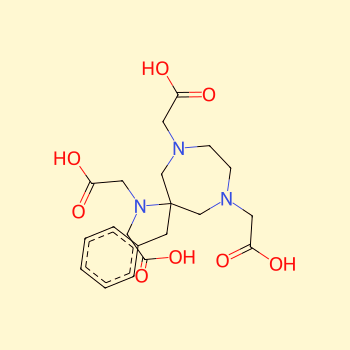 O=C(O)CN1CCN(CC(=O)O)CC(Cc2ccccc2)(N(CC(=O)O)CC(=O)O)C1